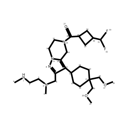 CNCCN(C)Cc1nn2c(c1C1CCC(COC)(COC)CC1)CN(C(=O)C1CC(C(F)F)C1)CC2